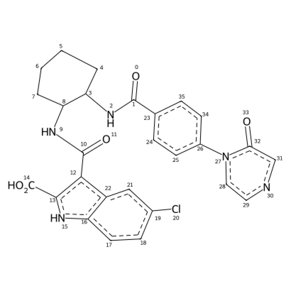 O=C(NC1CCCCC1NC(=O)c1c(C(=O)O)[nH]c2ccc(Cl)cc12)c1ccc(-n2ccncc2=O)cc1